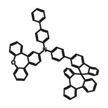 c1ccc(-c2ccc(N(c3ccc(-c4ccc5c(c4)C4(c6ccccc6-c6ccccc6-c6ccccc64)c4ccccc4-5)cc3)c3ccc4c(c3)-c3ccccc3Oc3ccccc3-4)cc2)cc1